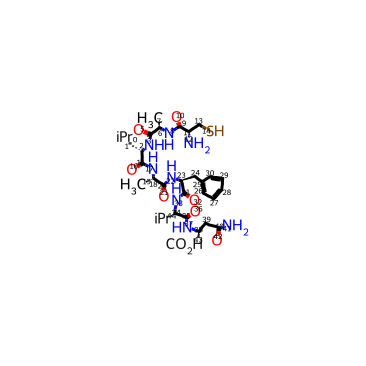 CC(C)C[C@H](NC(=O)[C@H](C)NC(=O)[C@@H](N)CS)C(=O)N[C@@H](C)C(=O)N[C@@H](Cc1ccccc1)C(=O)N[C@H](C(=O)N[C@@H](CC(N)=O)C(=O)O)C(C)C